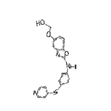 OCOc1ccc2oc(Nc3ccc(Sc4ccncc4)cc3)nc2c1